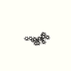 c1ccc(-c2ccc3c(c2)oc2cc(N(c4ccc5c6c(n(-c7ccccc7)c5c4)CC(c4ccccc4)c4ccccc4S6)c4cccc5ccccc45)ccc23)cc1